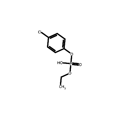 CCOP(=O)(O)Oc1ccc(Cl)cc1